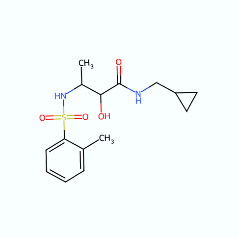 Cc1ccccc1S(=O)(=O)NC(C)C(O)C(=O)NCC1CC1